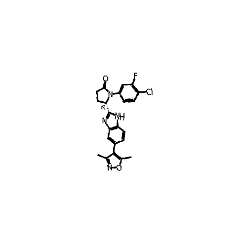 Cc1noc(C)c1-c1ccc2[nH]c([C@@H]3CCC(=O)N3c3ccc(Cl)c(F)c3)nc2c1